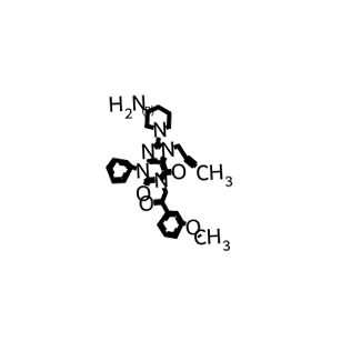 CC#CCn1c(N2CCC[C@@H](N)C2)nc2c1c(=O)n(CC(=O)c1cccc(OC)c1)c(=O)n2-c1ccccc1